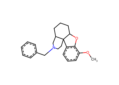 COc1cccc2c1OC1CCCC3CN(Cc4ccccc4)CCC231